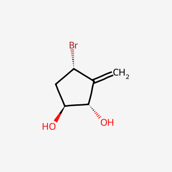 C=C1[C@@H](Br)C[C@H](O)[C@H]1O